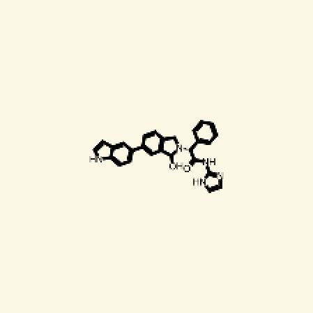 O=C(Nc1ncc[nH]1)[C@@H](c1ccccc1)N1Cc2ccc(-c3ccc4[nH]ccc4c3)cc2C1O